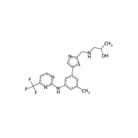 Cc1cc(Nc2nccc(C(F)(F)F)n2)cc(-c2cnc(CNCC(C)O)s2)c1